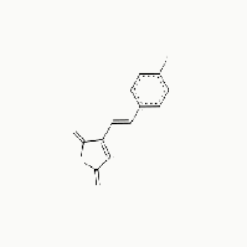 Cc1ccc(C=CC2=CC(=O)OC2=O)cc1